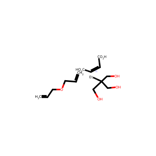 C=CCOCC=C.CCC(CO)(CO)CO.O=C(O)/C=C\C(=O)O